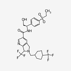 CCS(=O)(=O)c1ccc([C@H](CO)NC(=O)c2cnc3c(c2)CN(CC2CCC(C(F)(F)F)CC2)C3C(F)(F)F)cc1